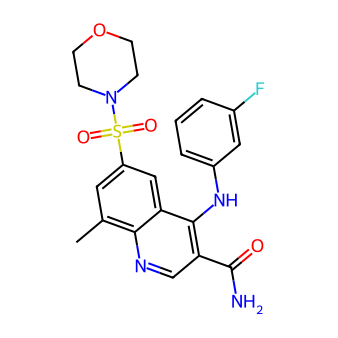 Cc1cc(S(=O)(=O)N2CCOCC2)cc2c(Nc3cccc(F)c3)c(C(N)=O)cnc12